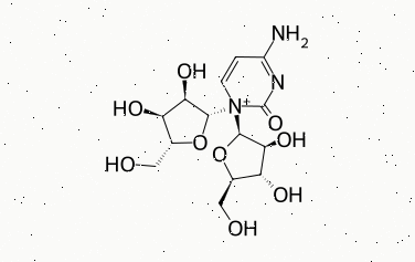 NC1=NC(=O)[N+]([C@@H]2O[C@H](CO)[C@@H](O)[C@H]2O)([C@@H]2O[C@H](CO)[C@@H](O)[C@@H]2O)C=C1